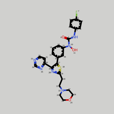 O=C(Nc1ccc(F)cc1)N(O)c1cccc(-c2sc(CCN3CCOCC3)nc2-c2ccncn2)c1